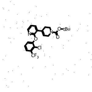 CC(C)(C)OC(=O)N1CC=C(c2cccnc2Oc2cccc(C(F)(F)F)c2Cl)CC1